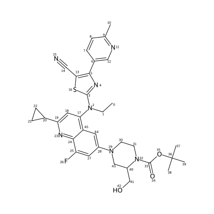 CCN(c1nc(-c2ccc(C)nc2)c(C#N)s1)c1cc(C2CC2)nc2c(F)cc(N3CCN(C(=O)OC(C)(C)C)C(CO)C3)cc12